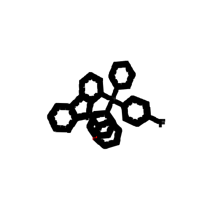 Fc1ccc([Si](c2ccccc2)(c2ccccc2)c2cccc3c4ccccc4n(-c4ccccc4)c23)cc1